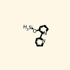 [SiH3]Oc1cccnc1-c1ccccn1